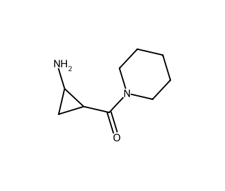 NC1CC1C(=O)N1CCCCC1